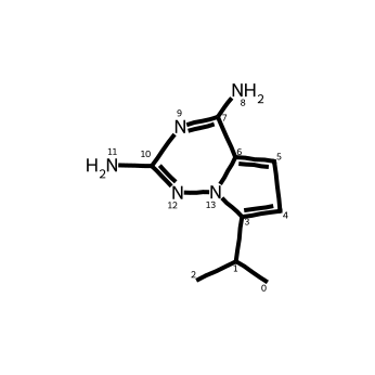 CC(C)c1ccc2c(N)nc(N)nn12